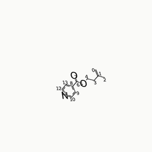 C=C(C)CCOC(=O)c1ccncc1